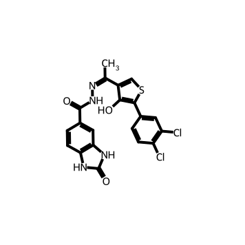 CC(=NNC(=O)c1ccc2[nH]c(=O)[nH]c2c1)c1csc(-c2ccc(Cl)c(Cl)c2)c1O